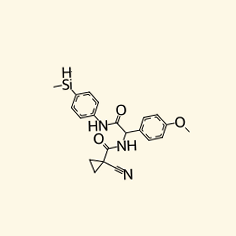 COc1ccc(C(NC(=O)C2(C#N)CC2)C(=O)Nc2ccc([SiH](C)C)cc2)cc1